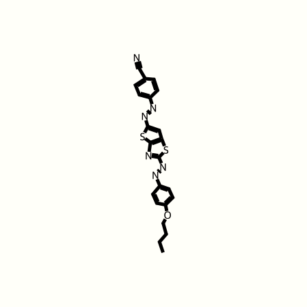 CCCCOc1ccc(N=Nc2nc3sc(N=Nc4ccc(C#N)cc4)cc3s2)cc1